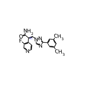 Cc1cc(C)cc(-c2ncn(/C=C(/C(N)=O)c3ccncc3F)n2)c1